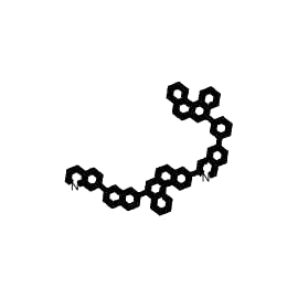 c1cc(-c2ccc3cnc(-c4ccc5c(ccc6cc(-c7ccc8ccc(-c9ccc%10cccnc%10c9)cc8c7)c7ccccc7c65)c4)cc3c2)cc(-c2cc3ccc4ccccc4c3c3ccccc23)c1